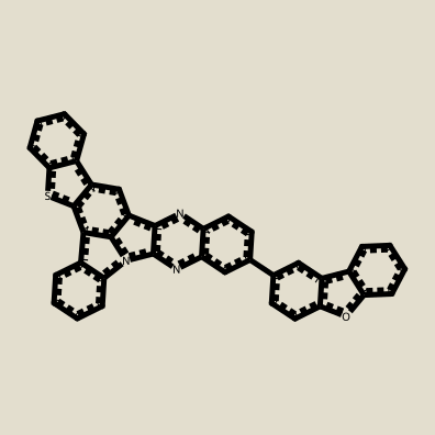 c1ccc2c(c1)oc1ccc(-c3ccc4nc5c6cc7c8ccccc8sc7c7c8ccccc8n(c5nc4c3)c67)cc12